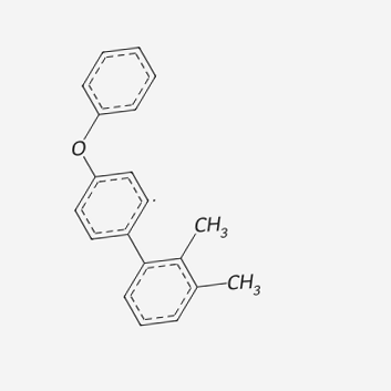 Cc1cccc(-c2[c]cc(Oc3ccccc3)cc2)c1C